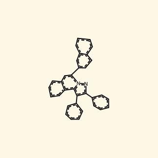 c1ccc(-c2nn3c(-c4ccc5ccccc5c4)cc4ccccc4c3c2-c2ccccc2)cc1